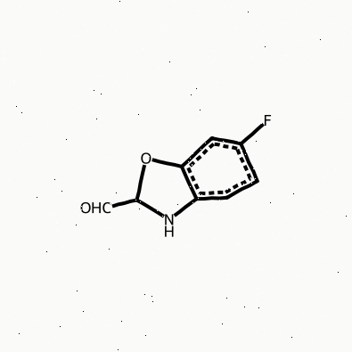 O=CC1Nc2ccc(F)cc2O1